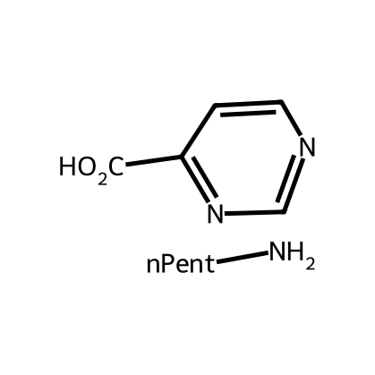 CCCCCN.O=C(O)c1ccncn1